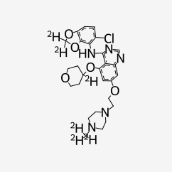 [2H]C1(Oc2cc(OCCN3CCN(C([2H])([2H])[2H])CC3)cc3ncnc(Nc4c(Cl)ccc5c4OC([2H])([2H])O5)c23)CCOCC1